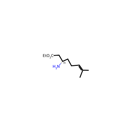 CCOC(=O)C[C@@H](N)CCC=C(C)C